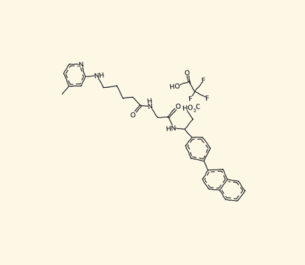 Cc1ccnc(NCCCCC(=O)NCC(=O)NC(CC(=O)O)c2ccc(-c3ccc4ccccc4c3)cc2)c1.O=C(O)C(F)(F)F